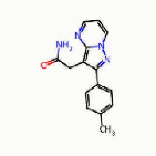 Cc1ccc(-c2nn3cccnc3c2CC(N)=O)cc1